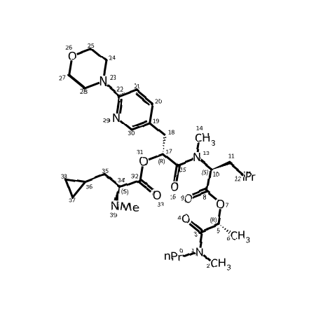 CCCN(C)C(=O)[C@@H](C)OC(=O)[C@H](CC(C)C)N(C)C(=O)[C@@H](Cc1ccc(N2CCOCC2)nc1)OC(=O)[C@H](CC1CC1)NC